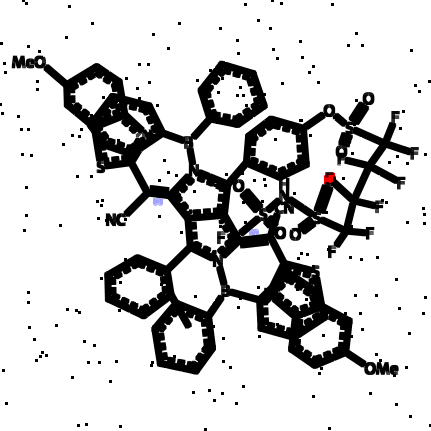 COc1ccc2nc(/C(C#N)=c3/c4c(-c5ccccc5C)n(B(c5ccccc5)c5ccccc5)/c(=C(/C#N)c5nc6ccc(OC)cc6s5)c4c(-c4ccc(OS(=O)(=O)C(F)(F)C(F)(F)C(F)(F)C(F)(F)S(=O)(=O)NS(=O)(=O)C(F)(F)F)cc4)n3B(c3ccccc3)c3ccccc3)sc2c1